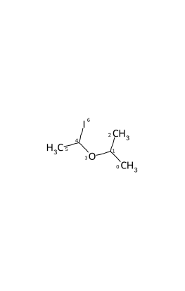 CC(C)OC(C)I